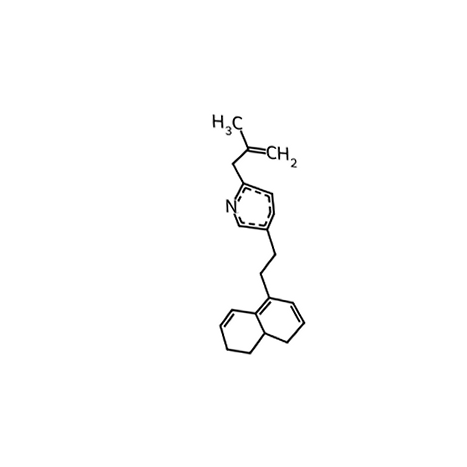 C=C(C)Cc1ccc(CCC2=C3C=CCCC3CC=C2)cn1